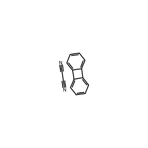 N#CC#N.c1ccc2c(c1)-c1ccccc1-2